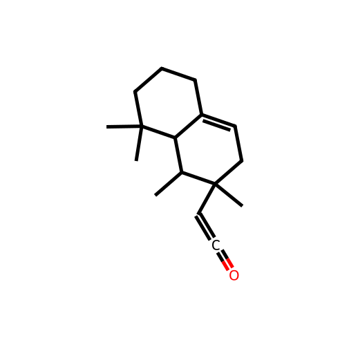 CC1C2C(=CCC1(C)C=C=O)CCCC2(C)C